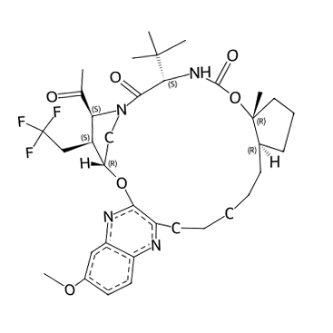 COc1ccc2nc3c(nc2c1)O[C@H]1CN(C(=O)[C@H](C(C)(C)C)NC(=O)O[C@]2(C)CCC[C@H]2CCCCC3)[C@H](C(C)=O)[C@@H]1CC(F)(F)F